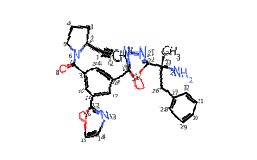 C#CC1CCCN1C(=O)c1cc(-c2ncco2)cc(-c2nnc([C@](C)(N)Cc3ccccc3)o2)c1